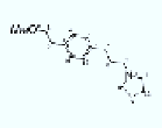 COCCc1ccc(CCCN2CCCC2)cc1